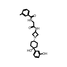 Cc1cccc(C(=O)NCC(=O)NC2CN([C@H]3CC[C@@](O)(c4cccc(O)c4)CC3)C2)c1